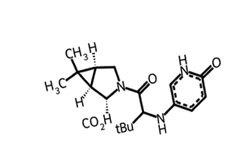 CC(C)(C)C(Nc1ccc(=O)[nH]c1)C(=O)N1C[C@H]2[C@@H]([C@H]1C(=O)O)C2(C)C